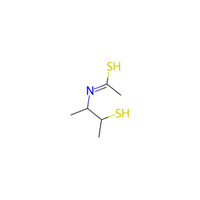 C/C(S)=N\C(C)C(C)S